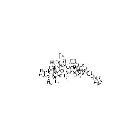 CC[C@H](C)[C@@H]([C@@H](CC(=O)N1CCC[C@H]1[C@H](OC)[C@@H](C)C(=O)N[C@@H](Cc1ccccc1)C(=O)NS(=O)(=O)c1ccc(CNC(=O)C(F)(F)F)cc1)OC)N(C)C(=O)[C@@H](NC(=O)C(C(C)C)N(C)C)C(C)C